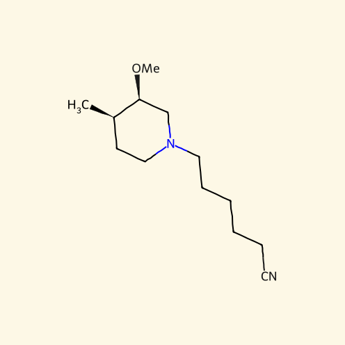 CO[C@H]1CN(CCCCCC#N)CC[C@H]1C